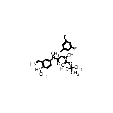 CNc1ccc(N(C)C(=O)[C@H](Cc2cc(F)cc(F)c2)N(C)C(=O)OC(C)(C)C)cc1C=N